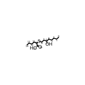 CCCCCC(O)CCSC(CCCC)C(=O)O